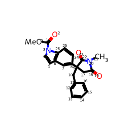 COC(=O)n1ccc2cc(C3(Cc4ccccc4)CC(=O)N(C)C3=O)ccc21